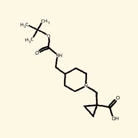 CC(C)(C)OC(=O)NCC1CCN(CC2(C(=O)O)CC2)CC1